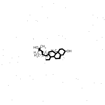 C[C@H](CC(C)(C)O)[C@H]1CCC2C3CC=C4C[C@@H](O)CC[C@]4(C)C3CC[C@@]21C